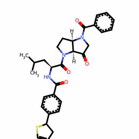 CC(C)C[C@H](NC(=O)c1ccc(C2CC=CS2)cc1)C(=O)N1CC[C@@H]2[C@H]1C(=O)CN2C(=O)c1ccccc1